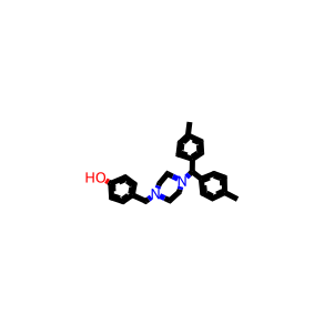 Cc1ccc(C(c2ccc(C)cc2)N2CCN(Cc3ccc(O)cc3)CC2)cc1